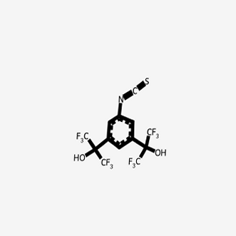 OC(c1cc(N=C=S)cc(C(O)(C(F)(F)F)C(F)(F)F)c1)(C(F)(F)F)C(F)(F)F